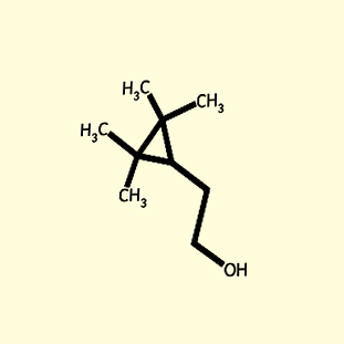 CC1(C)C(CCO)C1(C)C